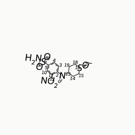 CN(c1ccc(S(N)(=O)=O)cc1[N+](=O)[O-])C1CC[S+]([O-])CC1